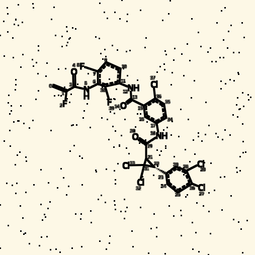 C=C(F)C(=O)Nc1c(F)ccc(NC(=O)c2cc(NC(=O)C3[C@H](c4ccc(Cl)c(Cl)c4)C3(Cl)Cl)ccc2Cl)c1F